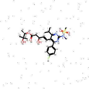 CC(C)c1nc(N(C)S(C)(=O)=O)nc(-c2ccc(F)cc2)c1/C=C/C(O)CC(=O)O[C@H](C)C(C)(C)O